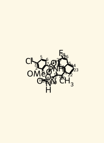 COc1cc(Cl)ccc1S(=O)(=O)NC(c1n[nH]c(=O)o1)C(C)c1cccc2cc(F)ccc12